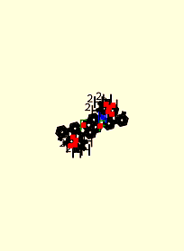 [2H]c1c([2H])c([2H])c(C(c2c(F)ccc(-c3cccc(C)c3)c2-c2cccc(C)c2)c2ccc3ccc4c(N(c5c([2H])c([2H])c([2H])c([2H])c5[2H])c5c(F)ccc(-c6cccc(C)c6)c5-c5cccc(C)c5)ccc5ccc2c3c54)c([2H])c1[2H]